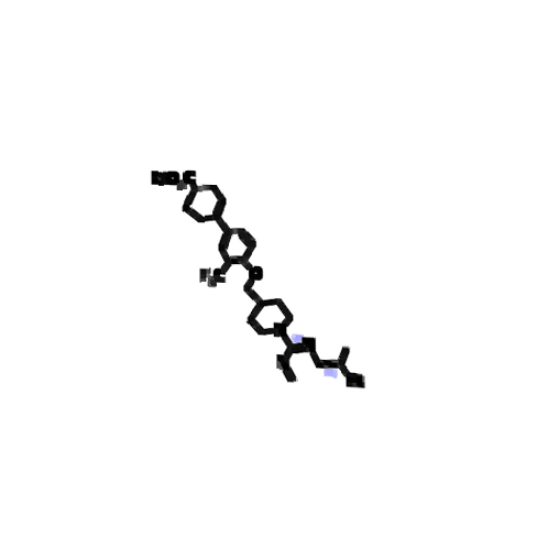 C=N/C(=N\C=C(/C)CC)N1CCC(COc2ccc(C3=CCC(C(=O)OCC)CC3)cc2C(F)(F)F)CC1